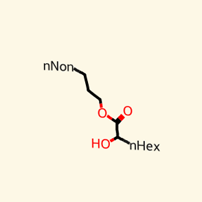 CCCCCCCCCCCCOC(=O)C(O)CCCCCC